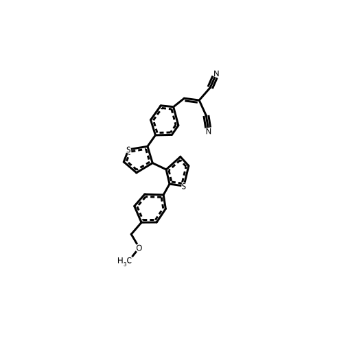 COCc1ccc(-c2sccc2-c2ccsc2-c2ccc(C=C(C#N)C#N)cc2)cc1